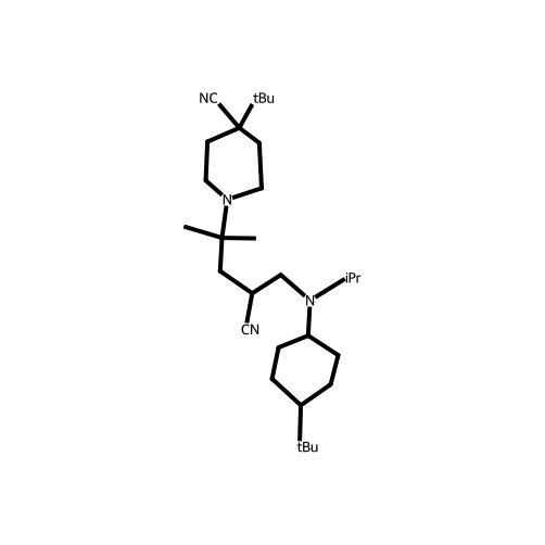 CC(C)N(CC(C#N)CC(C)(C)N1CCC(C#N)(C(C)(C)C)CC1)C1CCC(C(C)(C)C)CC1